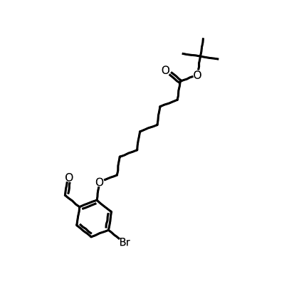 CC(C)(C)OC(=O)CCCCCCCOc1cc(Br)ccc1C=O